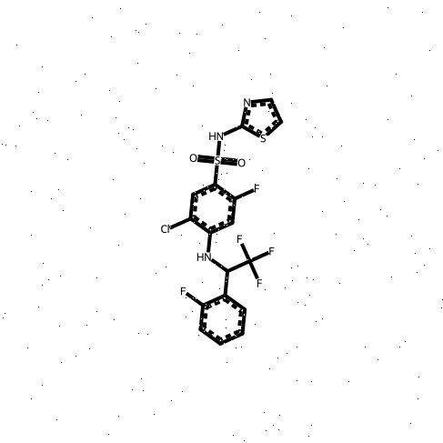 O=S(=O)(Nc1nccs1)c1cc(Cl)c(NC(c2ccccc2F)C(F)(F)F)cc1F